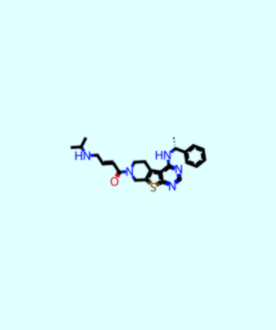 CC(C)NC/C=C/C(=O)N1CCc2c(sc3ncnc(N[C@H](C)c4ccccc4)c23)C1